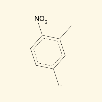 [CH2]c1ccc([N+](=O)[O-])c(C)c1